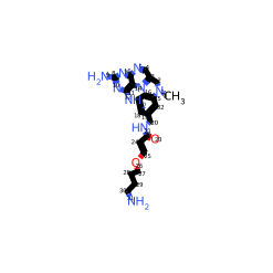 CN(Cc1cnc2nc(N)nc(N)c2n1)c1cccc(CNC(=O)C=COCCCCN)c1